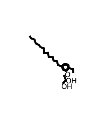 CCCCCCCCCCCCCCc1ccc(CC)c(OCC(O)CO)c1